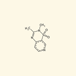 CC1=Nc2ccncc2S(=O)(=O)N1C